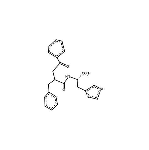 O=C(CC(Cc1ccccc1)C(=O)N[C@@H](Cc1c[nH]cn1)C(=O)O)c1ccccc1